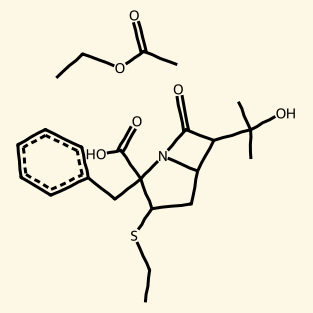 CCOC(C)=O.CCSC1CC2C(C(C)(C)O)C(=O)N2C1(Cc1ccccc1)C(=O)O